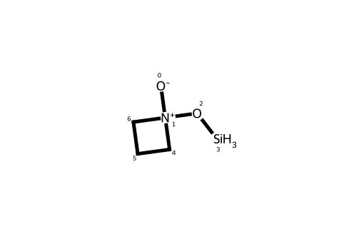 [O-][N+]1(O[SiH3])CCC1